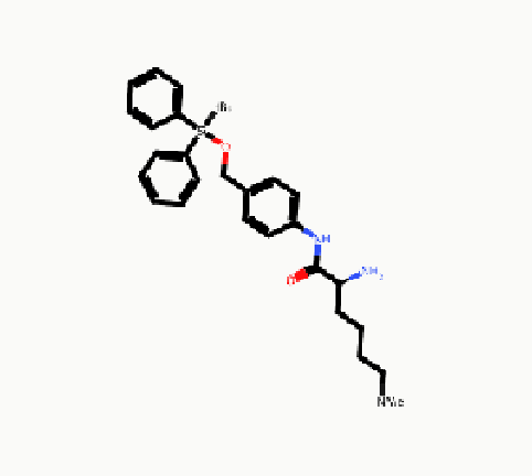 CNCCCC[C@H](N)C(=O)Nc1ccc(CO[Si](c2ccccc2)(c2ccccc2)C(C)(C)C)cc1